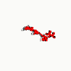 CCc1c2c(nc3ccc(OC(=O)c4ccc(CN(CCOCCOCCNC(=O)c5ccc(CN(CCCCOc6cc(CN(Cc7ccccc7)Cc7ccccc7)cc(CN(Cc7ccccc7)Cc7ccccc7)c6)C(=O)C6(c7ccc(Cl)cc7)CCCCC6)cc5)C(=O)C5(c6ccc(Cl)cc6)CCCCC5)cc4)cc13)-c1cc3c(c(=O)n1C2)COC(=O)[C@]3(O)CC